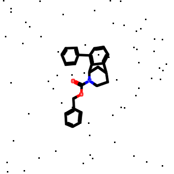 O=C(OCc1ccccc1)N1CCC2CC1c1c(-c3ccccc3)cccc12